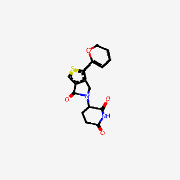 O=C1CCC(N2Cc3c(csc3C3=CCCCO3)C2=O)C(=O)N1